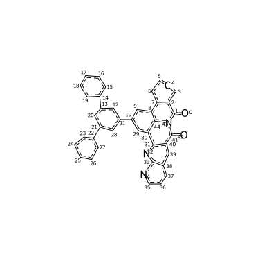 O=c1c2ccccc2c2cc(-c3cc(-c4ccccc4)cc(-c4ccccc4)c3)cc3c4nc5ncccc5cc4c(=O)n1c23